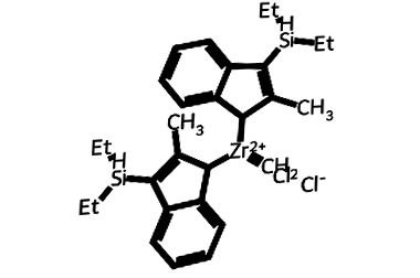 [CH2]=[Zr+2]([CH]1C(C)=C([SiH](CC)CC)c2ccccc21)[CH]1C(C)=C([SiH](CC)CC)c2ccccc21.[Cl-].[Cl-]